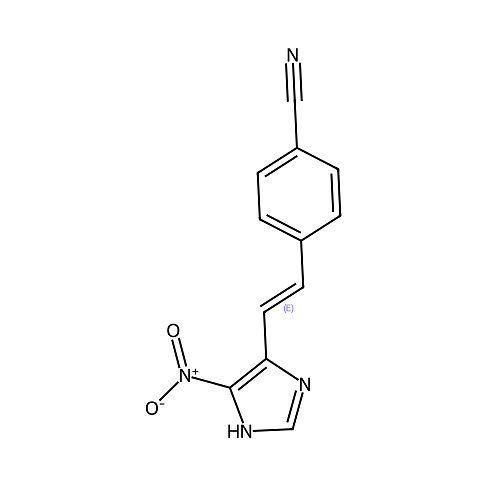 N#Cc1ccc(/C=C/c2nc[nH]c2[N+](=O)[O-])cc1